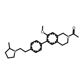 COc1cc2c(cc1-c1ccc(CCN3CCCC3C)cc1)CCN(C(C)=O)C2